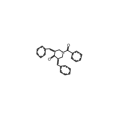 O=C1/C(=C\c2ccccc2)CN(C(=O)c2ccccc2)C/C1=C\c1ccccc1